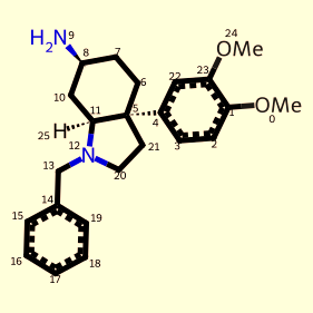 COc1ccc([C@@]23CC[C@H](N)C[C@@H]2N(Cc2ccccc2)CC3)cc1OC